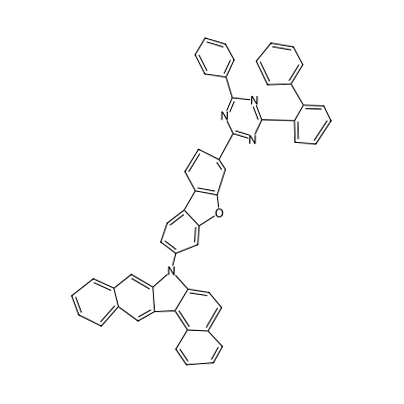 c1ccc(-c2nc(-c3ccc4c(c3)oc3cc(-n5c6cc7ccccc7cc6c6c7ccccc7ccc65)ccc34)nc(-c3ccccc3-c3ccccc3)n2)cc1